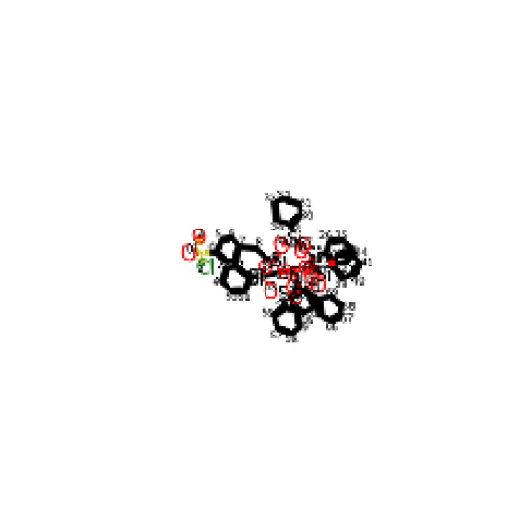 O=S(=O)(Cl)c1ccc(CC[Si]23O[Si]4(c5ccccc5)O[Si]5(c6ccccc6)O[Si](c6ccccc6)(O2)O[Si]2(c6ccccc6)O[Si](c6ccccc6)(O3)O[Si](c3ccccc3)(O4)O[Si](c3ccccc3)(O5)O2)cc1